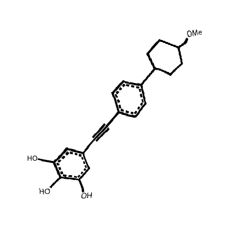 COC1CCC(c2ccc(C#Cc3cc(O)c(O)c(O)c3)cc2)CC1